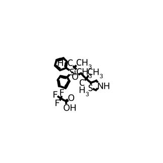 CC(C)(CO[Si](c1ccccc1)(c1ccccc1)C(C)(C)C)C1CNCS1.O=C(O)C(F)(F)F